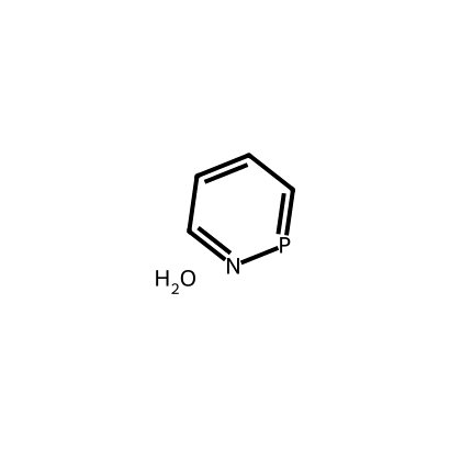 O.c1ccpnc1